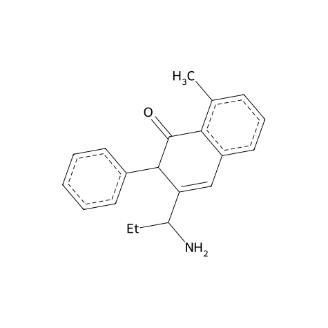 CCC(N)C1=Cc2cccc(C)c2C(=O)C1c1ccccc1